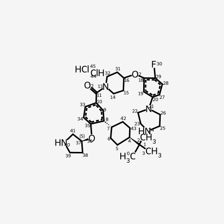 CC(C)(C)[C@H]1CC[C@H](c2cc(C(=O)N3CCC(Oc4cc(N5CCNCC5)ccc4F)CC3)ccc2O[C@H]2CCNC2)CC1.Cl.Cl